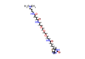 CN(C)CCCCNC(=O)CCCC(=O)NCCCOCCOCCOCCCNC(=O)CCCC[C@@H]1SC[C@@H]2NC(=O)N[C@@H]21